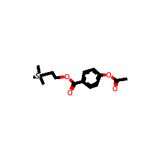 CC(=O)Oc1ccc(C(=O)OCC[Si](C)(C)C)cc1